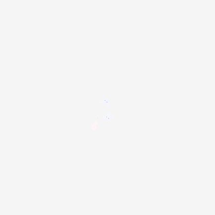 O=c1[nH]c(-c2ccccc2)nc2cc(F)ccc12